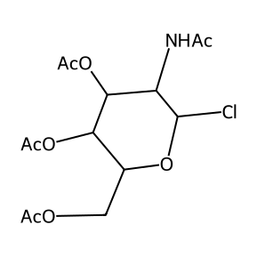 CC(=O)NC1C(Cl)OC(COC(C)=O)C(OC(C)=O)C1OC(C)=O